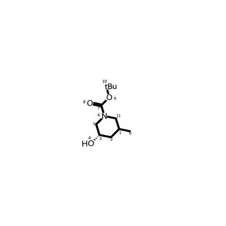 CC1C[C@H](O)CN(C(=O)OC(C)(C)C)C1